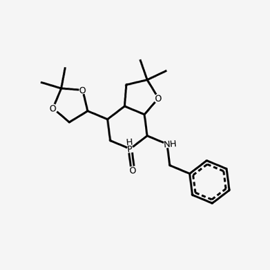 CC1(C)CC2C(C3COC(C)(C)O3)C[PH](=O)C(NCc3ccccc3)C2O1